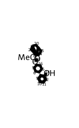 COC1(OO[C@H]2CC[C@@H](c3ccccc3O)CC2)C2CC3CC(C2)CC1C3